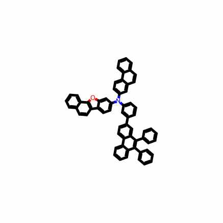 c1ccc(-c2c(-c3ccccc3)c3cc(-c4cccc(N(c5ccc6c(ccc7ccccc76)c5)c5ccc6c(c5)oc5c7ccccc7ccc65)c4)ccc3c3ccccc23)cc1